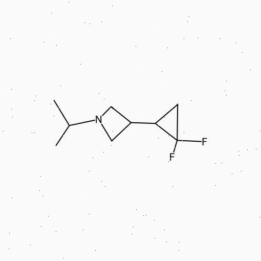 CC(C)N1CC(C2CC2(F)F)C1